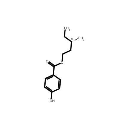 CC[C@H](C)CCOC(=O)c1ccc(O)cc1